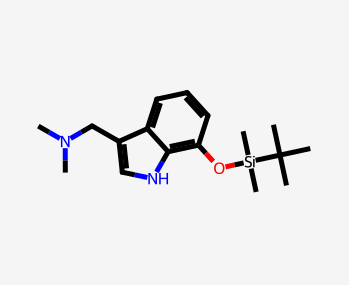 CN(C)Cc1c[nH]c2c(O[Si](C)(C)C(C)(C)C)cccc12